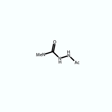 CNC(=O)NNC(C)=O